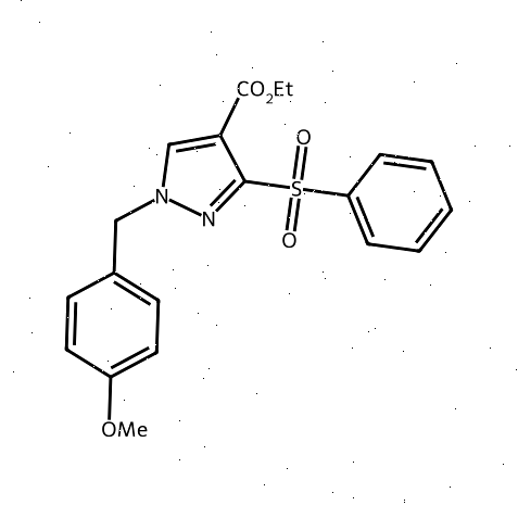 CCOC(=O)c1cn(Cc2ccc(OC)cc2)nc1S(=O)(=O)c1ccccc1